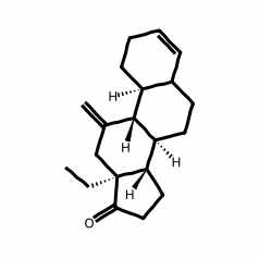 C=C1C[C@]2(CC)C(=O)CC[C@H]2[C@@H]2CCC3C=CCC[C@@H]3[C@@H]12